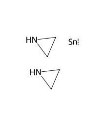 C1CN1.C1CN1.[Sn]